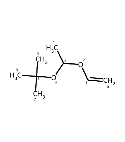 C=COC(C)OC(C)(C)C